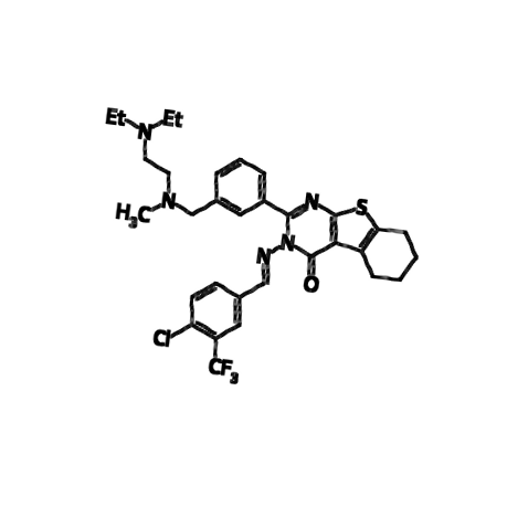 CCN(CC)CCN(C)Cc1cccc(-c2nc3sc4c(c3c(=O)n2N=Cc2ccc(Cl)c(C(F)(F)F)c2)CCCC4)c1